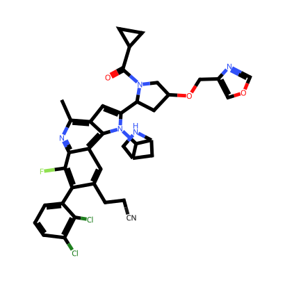 Cc1nc2c(F)c(-c3cccc(Cl)c3Cl)c(CCC#N)cc2c2c1cc(C1CC(OCc3cocn3)CN1C(=O)C1CC1)n2C1C2CNC1C2